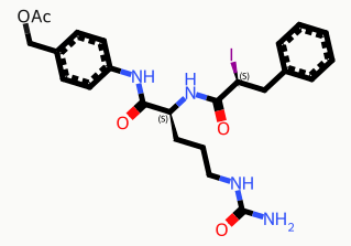 CC(=O)OCc1ccc(NC(=O)[C@H](CCCNC(N)=O)NC(=O)[C@@H](I)Cc2ccccc2)cc1